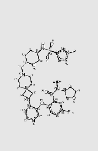 Cc1nc(S(=O)(=O)N[C@@H]2CC[C@@H](CN3CCC4(CC3)CN(c3ncncc3Oc3ccc(F)cc3C(=O)N(C(C)C)C3CCOC3)C4)OC2)cs1